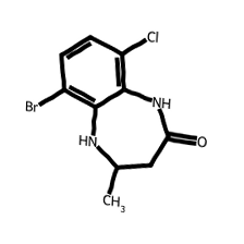 CC1CC(=O)Nc2c(Cl)ccc(Br)c2N1